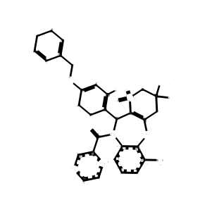 CC1(C)CC2=C(C(C3=C(F)C=C(OCC4=CCCC=C4)CC3)N(C(=O)c3cnccn3)c3cccc(O)c3N2)S(=O)(=O)C1